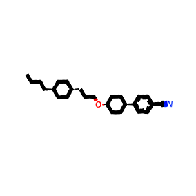 CCCC[C@H]1CC[C@H](CCCO[C@H]2CC[C@H](c3ccc(C#N)cc3)CC2)CC1